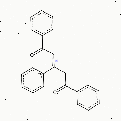 O=C(/C=C(/CC(=O)c1ccccc1)c1ccccc1)c1ccccc1